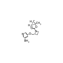 Bc1cncc(OC[C@@H]2CCN2C(=O)OC(C)(C)C)c1